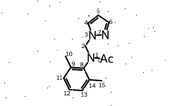 CC(=O)N(Cn1cccn1)c1c(C)cccc1C